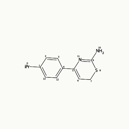 CC(C)c1ccc(C2=CCSC(N)=N2)cc1